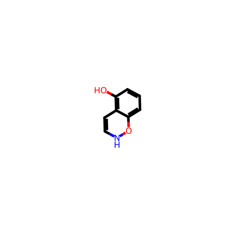 Oc1cccc2c1C=CNO2